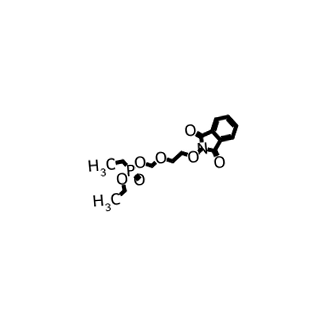 CCOP(=O)(CC)OCOCCON1C(=O)c2ccccc2C1=O